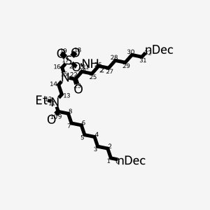 CCCCCCCCCCCCCCCCCCC(=O)N(CC)CCN(CS(=O)(=O)ON)C(=O)CCCCCCCCCCCCCCCCCC